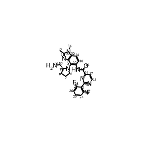 Cc1nc2c(N3CCC[C@H]3CN)c(NC(=O)c3ccnc(-c4c(F)cccc4F)n3)ccc2n1C